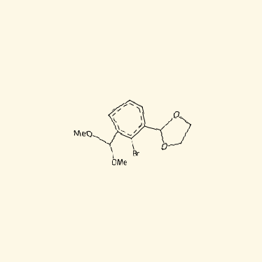 COC(OC)c1cccc(C2OCCO2)c1Br